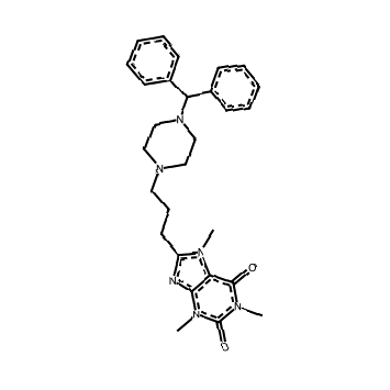 Cn1c(=O)c2c(nc(CCCN3CCN(C(c4ccccc4)c4ccccc4)CC3)n2C)n(C)c1=O